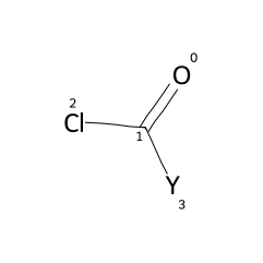 O=[C](Cl)[Y]